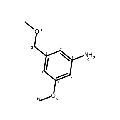 COCc1cc(N)cc(OC)c1